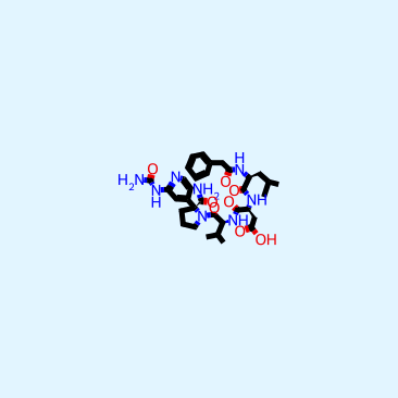 CC(C)C[C@H](NC(=O)Cc1ccccc1)C(=O)N[C@@H](CC(=O)O)C(=O)N[C@H](C(=O)N1CCC[C@@]1(C(N)=O)c1ccnc(NC(N)=O)c1)C(C)C